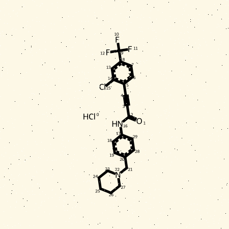 Cl.O=C(C#Cc1ccc(C(F)(F)F)cc1Cl)Nc1ccc(CN2CCCCC2)cc1